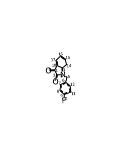 O=C1C(=O)N(Cc2ccc(F)cc2)C2CC=CC=C12